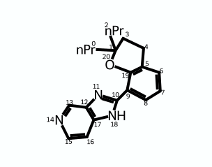 CCCC1(CCC)CCc2cccc(-c3nc4cnccc4[nH]3)c2O1